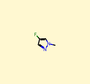 Cn1cc(F)cn1